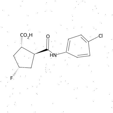 O=C(O)[C@H]1C[C@@H](F)C[C@@H]1C(=O)Nc1ccc(Cl)cc1